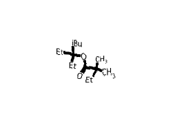 CCC(C)C(CC)(CC)OC(=O)C(C)(C)CC